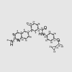 CNc1ncc2cc(-c3cc(C(=O)Nc4ccc(OC(C)C5CC5)cc4)ccc3C)ccc2n1